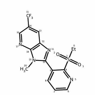 CCS(=O)(=O)c1ncccc1-c1nc2cc(C(F)(F)F)cnc2n1C